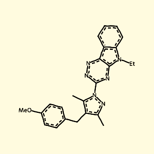 CCn1c2ccccc2c2nnc(-n3nc(C)c(Cc4ccc(OC)cc4)c3C)nc21